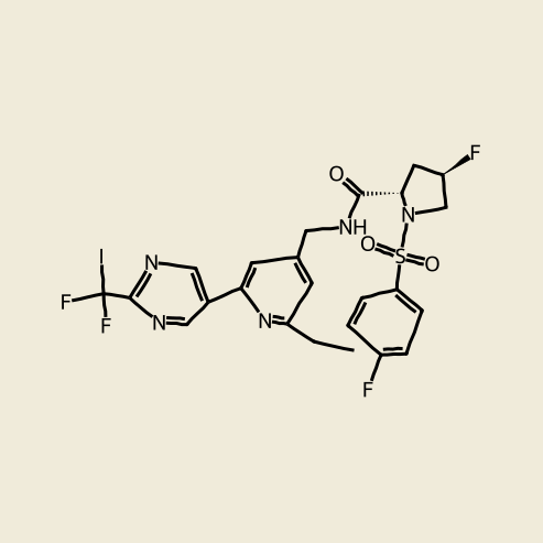 CCc1cc(CNC(=O)[C@@H]2C[C@@H](F)CN2S(=O)(=O)c2ccc(F)cc2)cc(-c2cnc(C(F)(F)I)nc2)n1